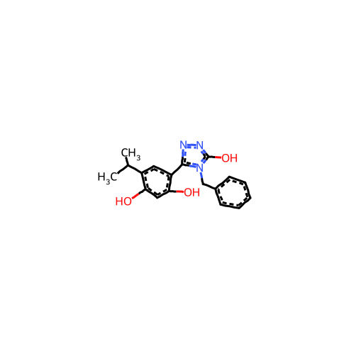 CC(C)c1cc(-c2nnc(O)n2Cc2ccccc2)c(O)cc1O